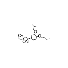 CCCCOc1ccc(C2=NOC3(CCOC3)C2)cc1OCC(C)C